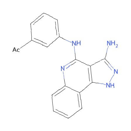 CC(=O)c1cccc(Nc2nc3ccccc3c3[nH]nc(N)c23)c1